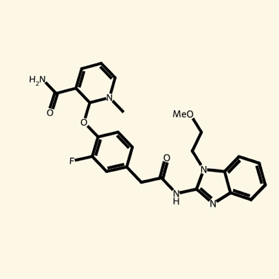 COCCn1c(NC(=O)Cc2ccc(OC3C(C(N)=O)=CC=CN3C)c(F)c2)nc2ccccc21